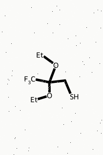 CCOC(CS)(OCC)C(F)(F)F